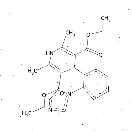 CCOC(=O)C1=C(C)NC(C)=C(C(=O)OCC)C1c1ccccc1-n1ccnc1